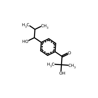 CC(C)C(O)c1ccc(C(=O)C(C)(C)O)cc1